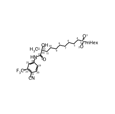 CCCCCCS(=O)(=O)CCCCCCCC[C@](C)(O)C(=O)Nc1ccc(C#N)c(C(F)(F)F)c1